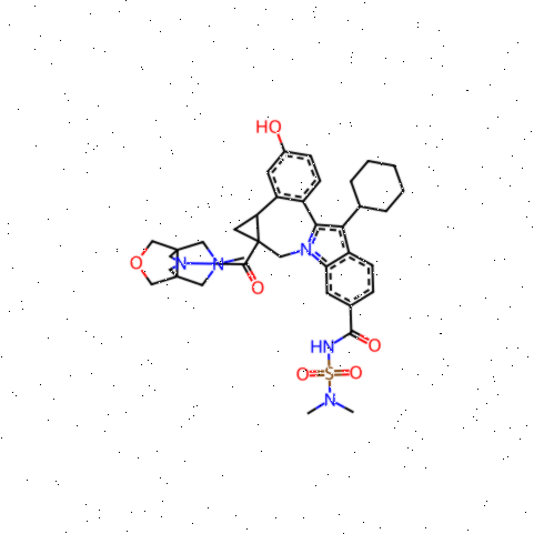 CN1CC23COCC2(C1)CN(C(=O)C12CC1c1cc(O)ccc1-c1c(C4CCCCC4)c4ccc(C(=O)NS(=O)(=O)N(C)C)cc4n1C2)C3